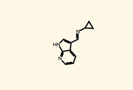 C(=NC1CC1)c1c[nH]c2ncccc12